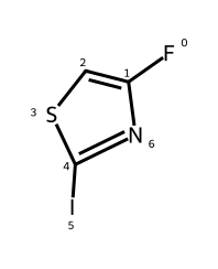 Fc1csc(I)n1